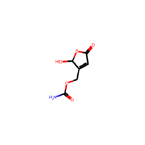 NC(=O)OCC1=CC(=O)OC1O